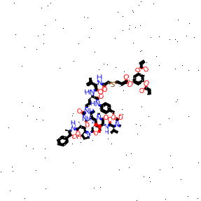 C=CC(=O)O[C@@H]1C[C@H](OC(=O)C=C)C[C@H](OC(=O)CCSCC(=O)N[C@H](C(=O)N[C@@H](CCCNC(N)=O)C(=O)Nc2ccc(COC(=O)N(C)[C@H](C(=O)N[C@H](C(=O)N(C)[C@@H]([C@H](C)CC)[C@@H](CC(=O)N3CCC[C@H]3[C@H](OC)[C@@H](C)C(=O)N[C@H](C)[C@@H](O)c3ccccc3)OC)C(C)C)C(C)C)cc2)C(C)C)C1